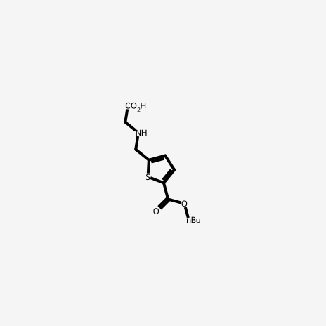 CCCCOC(=O)c1ccc(CNCC(=O)O)s1